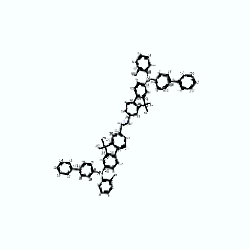 Cc1ccccc1N(c1ccc(-c2ccccc2)cc1)c1ccc2c(c1)C(C)(C)c1cc(/C=C/c3ccc4c(c3)C(C)(C)c3cc(N(c5ccc(-c6ccccc6)cc5)c5ccccc5C)ccc3-4)ccc1-2